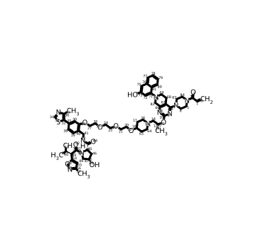 C=CC(=O)N1CCN(c2nc(O[C@H](C)CN3CCC(OCCOCCOCCOc4cc(-c5scnc5C)ccc4CNC(=O)[C@@H]4C[C@@H](O)CN4C(=O)[C@@H](c4cc(C)no4)C(C)C)CC3)nc3c2CCN(c2cc(O)cc4ccccc24)C3)CC1